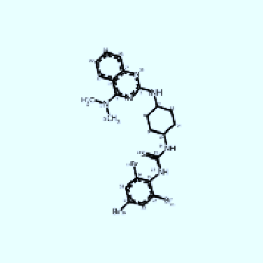 CN(C)c1nc(NC2CCC(NC(=S)Nc3c(Br)cc(Br)cc3Br)CC2)nc2ccccc12